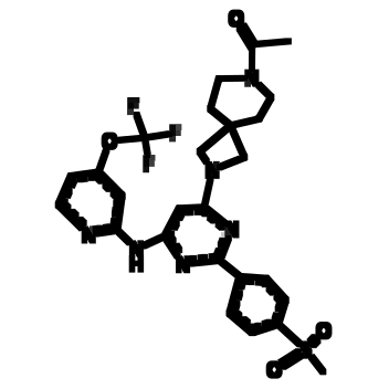 CC(=O)N1CCC2(CC1)CN(c1cc(Nc3cc(OC(F)(F)F)ccn3)nc(-c3ccc(S(C)(=O)=O)cc3)n1)C2